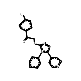 O=C(CSc1nnc(-c2ccncc2)n1-c1ccccc1)c1ccc(Cl)cc1